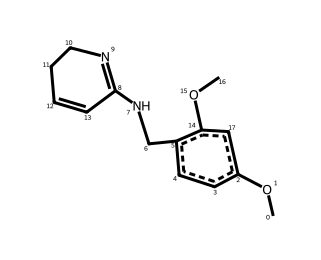 COc1ccc(CNC2=NCCC=C2)c(OC)c1